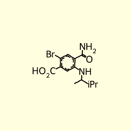 CC(C)C(C)Nc1cc(C(=O)O)c(Br)cc1C(N)=O